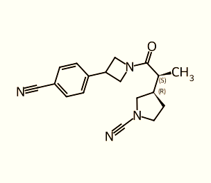 C[C@H](C(=O)N1CC(c2ccc(C#N)cc2)C1)[C@H]1CCN(C#N)C1